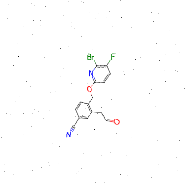 N#Cc1ccc(COc2ccc(F)c(Br)n2)c(CC=O)c1